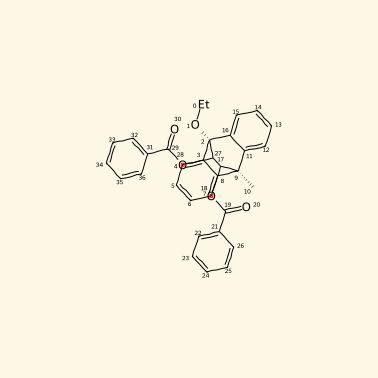 CCO[C@]12c3ccccc3[C@](C)(c3ccccc31)C(OC(=O)c1ccccc1)C2OC(=O)c1ccccc1